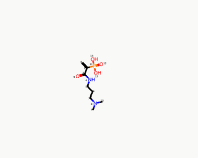 C=C(C(=O)NCCCN(C)C)P(=O)(O)O